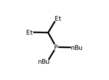 CCCCP(CCCC)C(CC)CC